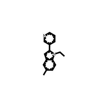 CCn1c(-c2cccnc2)cc2cc(C)ccc21